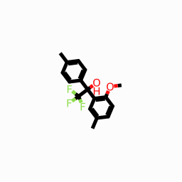 COc1ccc(C)cc1C(O)(c1ccc(C)cc1)C(F)(F)F